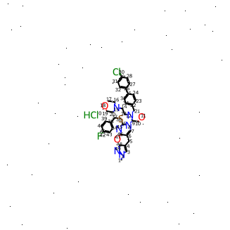 Cl.Cn1cc(Cc2cn(C(C=O)N(CCN3CCOCC3)Cc3ccc(-c4ccc(Cl)cc4)cc3)c(SCc3ccc(F)cc3)nc2=O)cn1